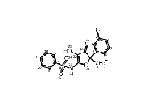 CC1(c2cc(F)ccc2F)OC(NS(=O)(=O)c2ccccc2)=C(O)C1=O